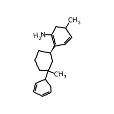 CC1C=CC([C@@H]2CCCC(C)(C3C=CC=CC3)C2)=C(N)C1